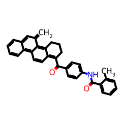 C=c1cc2ccccc2c2ccc3c(c12)CCCC=3C(=O)c1ccc(NC(=O)c2ccccc2C)cc1